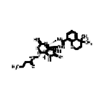 CCCC(=O)NC[C@@H]1NC(=N)N2C[C@H](NC(=O)c3cccc4c3OCCC4(C)C)C(O)(O)[C@@]23NC(=N)N[C@@H]13